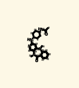 CC(=O)N[C@H]1CC[C@@H](Nc2cc3c(cn2)N(C)C(=O)c2ccccc2N3C)CC1